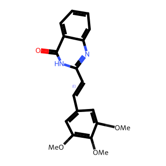 COc1cc(/C=C/c2nc3ccccc3c(=O)[nH]2)cc(OC)c1OC